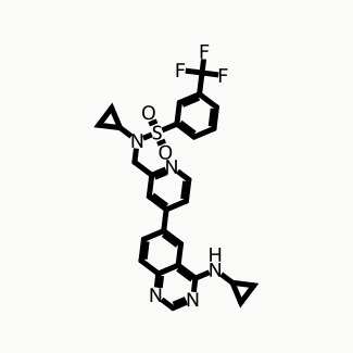 O=S(=O)(c1cccc(C(F)(F)F)c1)N(Cc1cc(-c2ccc3ncnc(NC4CC4)c3c2)ccn1)C1CC1